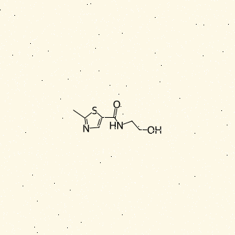 Cc1ncc(C(=O)NCCO)s1